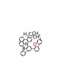 CC(C)(C)c1ccc(N2c3ccccc3B3c4ccccc4-c4cc(-c5cccc6c5oc5ccccc56)cc2c43)c(-c2ccccc2)c1